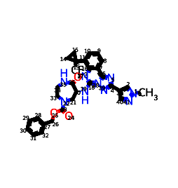 Cn1cc(-c2nc3c4cccc(C5(C(F)(F)F)CC5)c4nc(N[C@@H]4CN(C(=O)OCc5ccccc5)CCNC4=O)n3n2)cn1